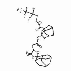 CC(F)(F)C(F)(F)CCOC(=O)C12CC3CC(CC(OC(=O)CC4OC5(OC4=O)C4CC6CC(C4)CC5C6)(C3)C1)C2